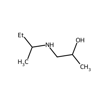 CCC(C)NCC(C)O